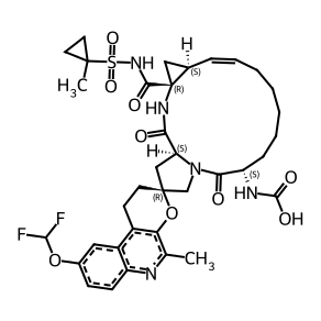 Cc1nc2ccc(OC(F)F)cc2c2c1O[C@]1(CC2)C[C@H]2C(=O)N[C@]3(C(=O)NS(=O)(=O)C4(C)CC4)C[C@H]3C=CCCCCC[C@H](NC(=O)O)C(=O)N2C1